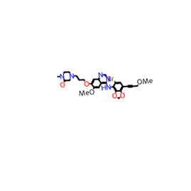 COCC#Cc1cc(Br)c(Nc2ncnc3cc(OCCCN4CCN(C)C(=O)C4)c(OC)cc23)c2c1OCO2